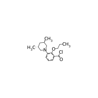 CCCOc1c(C(=O)Cl)cccc1N1C[C@H](C)C[C@@H](C)C1